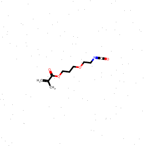 C=C(C)C(=O)OCCCOCCN=C=O